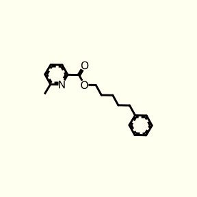 Cc1cccc(C(=O)OCCCCCc2ccccc2)n1